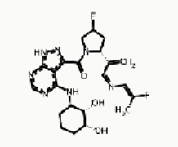 C=C(/C=N\C=C(/C)F)[C@H]1C[C@H](F)CN1C(=O)c1n[nH]c2ncnc(N[C@@H]3CCC[C@@H](O)[C@H]3O)c12